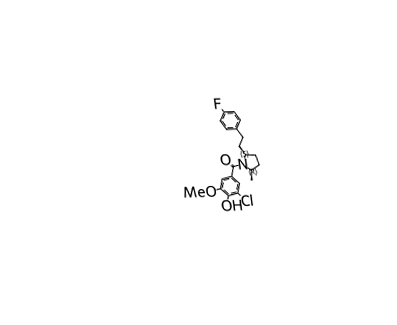 COc1cc(C(=O)N2[C@@H](CCc3ccc(F)cc3)CC[C@H]2C)cc(Cl)c1O